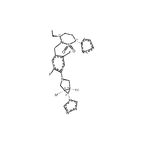 CC[C@H]1CC[C@H](c2ccccc2)S(=O)(=O)N1Cc1cc(F)c(N2C[C@@H]3[C@H](C2)[C@H]3n2cnnc2)cc1F